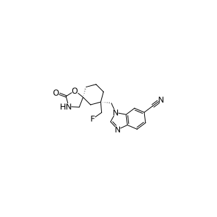 N#Cc1ccc2ncn(C[C@@]3(CF)CCC[C@@]4(CNC(=O)O4)C3)c2c1